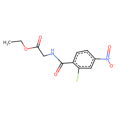 CCOC(=O)CNC(=O)c1ccc([N+](=O)[O-])cc1F